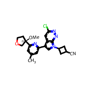 CO[C@]1(c2cc(C)cc(-c3cn(C4CC(C#N)C4)c4nnc(Cl)cc34)n2)CCOC1